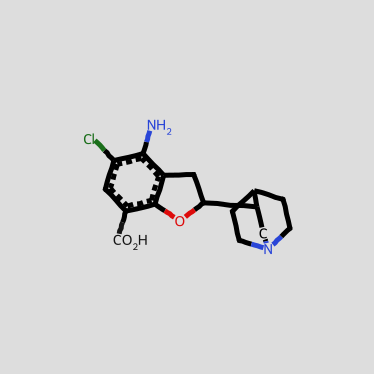 Nc1c(Cl)cc(C(=O)O)c2c1CC(C1CN3CCC1CC3)O2